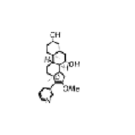 COC1=C(c2cccnc2)[C@@]2(C)CC[C@H]3[C@@H]([C@@H](O)CC4C[C@@H](O)CC[C@@]43C)[C@@H]2C1